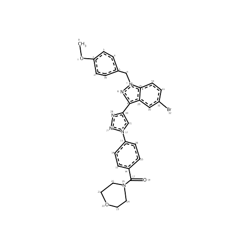 COc1ccc(Cn2nc(-c3cn(-c4ccc(C(=O)N5CCOCC5)cc4)nn3)c3cc(Br)ccc32)cc1